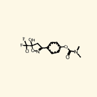 CN(C)C(=O)Oc1ccc(C2=NOC(O)(C(F)(F)Cl)C2)cc1